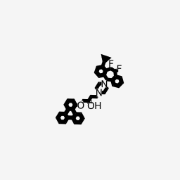 O[C@H](CCN1CCN(C2c3ccccc3C(F)C(F)c3c(C4CC4)cccc32)CC1)COc1cccc2c3ccccc3c3ccccc3c12